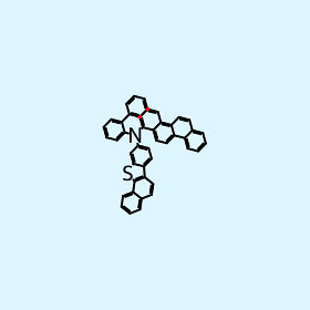 c1ccc(-c2ccccc2N(c2ccc3c(c2)sc2c4ccccc4ccc32)c2cccc3c2ccc2c4ccccc4ccc32)cc1